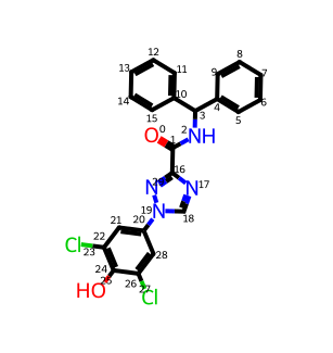 O=C(NC(c1ccccc1)c1ccccc1)c1ncn(-c2cc(Cl)c(O)c(Cl)c2)n1